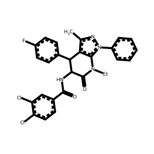 CCN1C(=O)C(NC(=O)c2ccc(Cl)c(Cl)c2)C(c2ccc(F)cc2)c2c(C)nn(-c3ccccc3)c21